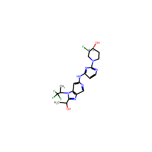 CC(O)c1nc2cnc(Nc3ccnc(N4CC[C@H](O)[C@H](F)C4)n3)cc2n1C(C)C(F)(F)F